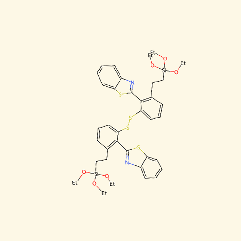 CCO[Si](CCc1cccc(SSc2cccc(CC[Si](OCC)(OCC)OCC)c2-c2nc3ccccc3s2)c1-c1nc2ccccc2s1)(OCC)OCC